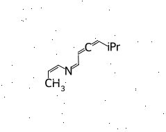 C/C=C\N=C/C=C=CC(C)C